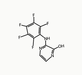 Oc1nccnc1Nc1c(F)c(F)c(F)c(F)c1F